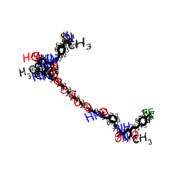 COc1cnc(C(=O)NCc2cccc(CC(=O)NCCOCCOCCOCCOCCOCC(=O)NC(C(=O)N3CC(O)CC3C(=O)NCc3ccc(-c4scnc4C)cc3)C(C)(C)C)c2)cc1C=CC1CCC(C(F)(F)F)CC1